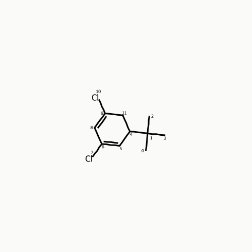 CC(C)(C)C1C=C(Cl)C=C(Cl)C1